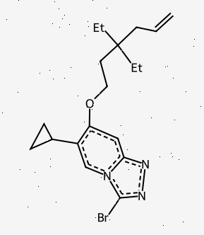 C=CCC(CC)(CC)CCOc1cc2nnc(Br)n2cc1C1CC1